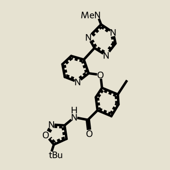 CNc1ncnc(-c2cccnc2Oc2cc(C(=O)Nc3cc(C(C)(C)C)on3)ccc2C)n1